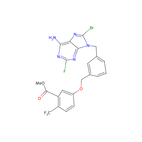 COC(=O)c1cc(OCc2cccc(Cn3c(Br)nc4c(N)nc(F)nc43)c2)ccc1C(F)(F)F